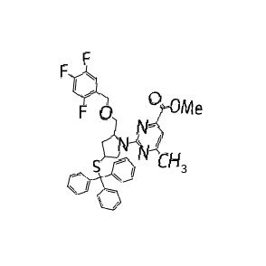 COC(=O)c1cc(C)nc(N2CC(SC(c3ccccc3)(c3ccccc3)c3ccccc3)CC2COCc2cc(F)c(F)cc2F)n1